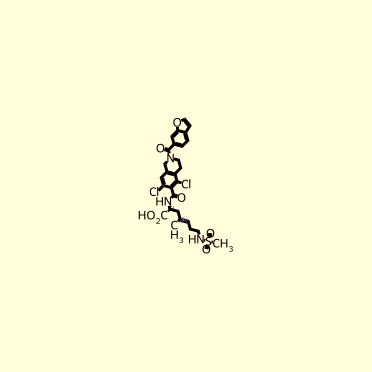 C/C(=C\CCNS(C)(=O)=O)C[C@H](NC(=O)c1c(Cl)cc2c(c1Cl)CCN(C(=O)c1ccc3ccoc3c1)C2)C(=O)O